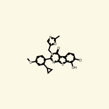 COc1ccc(-c2nc3sc4c(O)c(Cl)ccc4c3c(=O)n2Cc2cnc(C)o2)c(C2CC2)c1